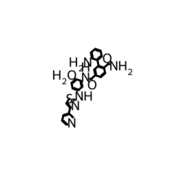 NC(=O)c1ccc(C(=O)Nc2cccc(Nc3nc(-c4cccnc4)cs3)c2)cc1-c1ccccc1N.O